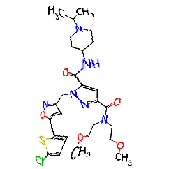 COCCN(CCOC)C(=O)c1cc(C(=O)NC2CCN(C(C)C)CC2)n(Cc2cc(-c3ccc(Cl)s3)on2)n1